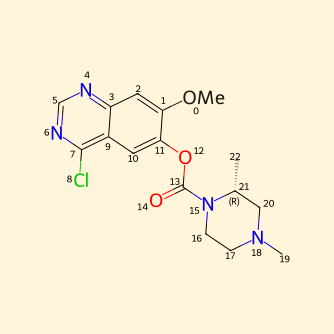 COc1cc2ncnc(Cl)c2cc1OC(=O)N1CCN(C)C[C@H]1C